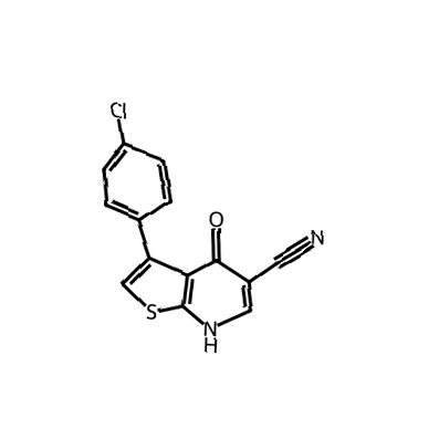 N#Cc1c[nH]c2scc(-c3ccc(Cl)cc3)c2c1=O